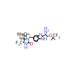 [2H]C1([2H])C(C(F)(F)F)NC(=O)N1[C@H](COC)c1ccc2[nH]c([C@@H](N)COC(C)(C)C(F)(F)F)nc2c1